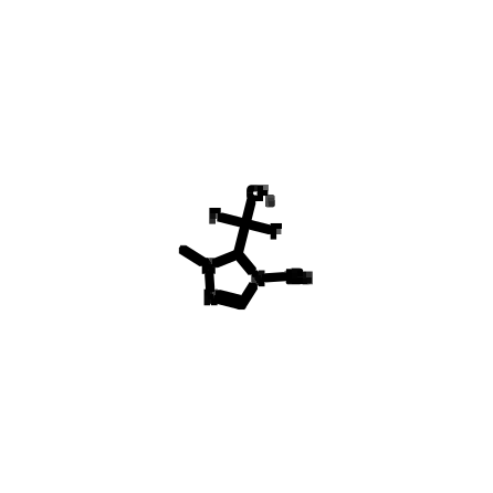 CN1N=CN(C(C)(C)C)C1C(F)(F)C(F)(F)F